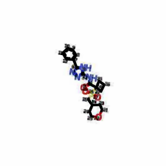 O=C(Nc1nnc(-c2ccccc2)[nH]1)C1(S(=O)(=O)CC2CCOCC2)CCC1